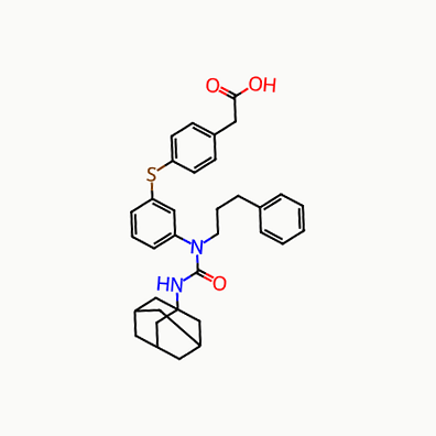 O=C(O)Cc1ccc(Sc2cccc(N(CCCc3ccccc3)C(=O)NC34CC5CC(CC(C5)C3)C4)c2)cc1